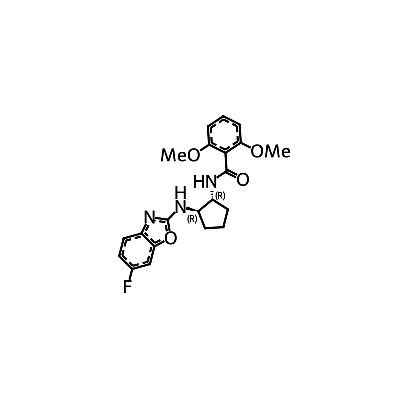 COc1cccc(OC)c1C(=O)N[C@@H]1CCC[C@H]1Nc1nc2ccc(F)cc2o1